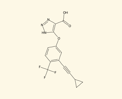 O=C(O)c1nn[nH]c1Oc1ccc(C(F)(F)F)c(C#CC2CC2)c1